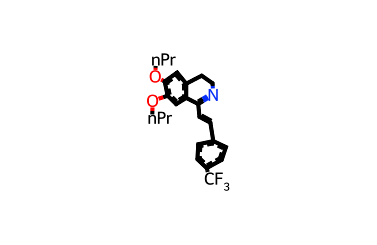 CCCOc1cc2c(cc1OCCC)C(C=Cc1ccc(C(F)(F)F)cc1)=NCC2